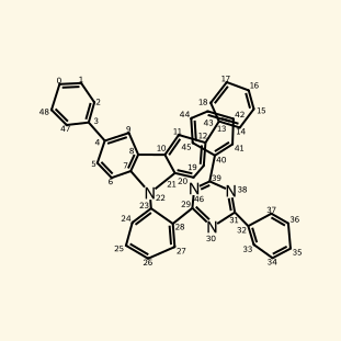 c1ccc(-c2ccc3c(c2)c2cc(-c4ccccc4)ccc2n3-c2ccccc2-c2nc(-c3ccccc3)nc(-c3ccccc3)n2)cc1